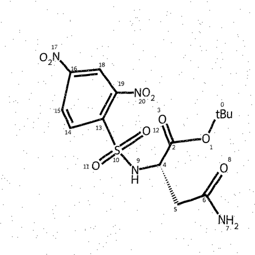 CC(C)(C)OC(=O)[C@H](CC(N)=O)NS(=O)(=O)c1ccc([N+](=O)[O-])cc1[N+](=O)[O-]